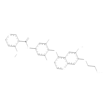 CCOc1ccncc1C(=O)Nc1cc(F)c(Oc2ccnc3cc(OCCNC)c(OC)cc23)c(F)c1